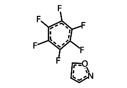 Fc1c(F)c(F)c(F)c(F)c1F.c1cnoc1